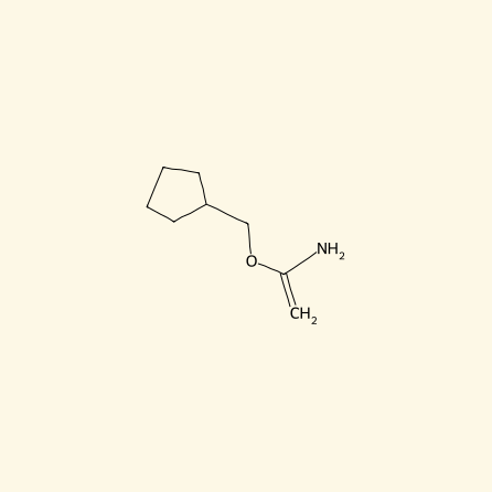 C=C(N)OCC1CCCC1